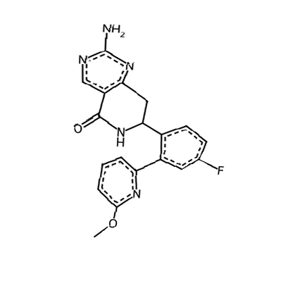 COc1cccc(-c2cc(F)ccc2C2Cc3nc(N)ncc3C(=O)N2)n1